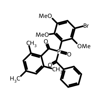 COc1cc(Br)c(OC)c(P(=O)(C(=O)c2ccccc2)C(=O)c2c(C)cc(C)cc2C)c1OC